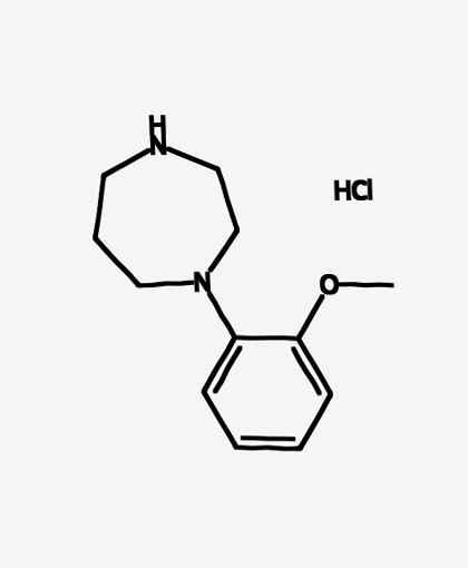 COc1ccccc1N1CCCNCC1.Cl